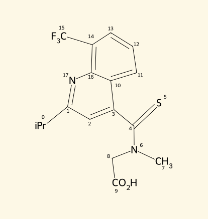 CC(C)c1cc(C(=S)N(C)CC(=O)O)c2cccc(C(F)(F)F)c2n1